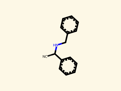 N#CC(NCc1ccccc1)c1ccccc1